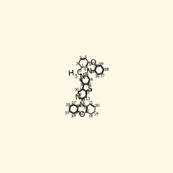 CC1CC=CC2=C1N(c1cc3sc4cc(N5C6=C(CCC=C6)Oc6ccccc65)ncc4c3cn1)c1ccccc1O2